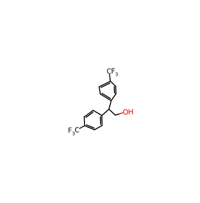 OCC(c1ccc(C(F)(F)F)cc1)c1ccc(C(F)(F)F)cc1